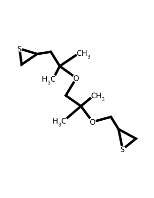 CC(C)(COC(C)(C)CC1CS1)OCC1CS1